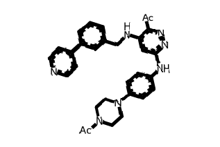 CC(=O)c1nnc(Nc2ccc(N3CCN(C(C)=O)CC3)cc2)cc1NCc1cccc(-c2ccncc2)c1